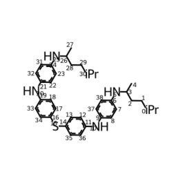 CC(C)CCC(C)Nc1ccc(Nc2ccc(Sc3ccc(Nc4ccc(NC(C)CCC(C)C)cc4)cc3)cc2)cc1